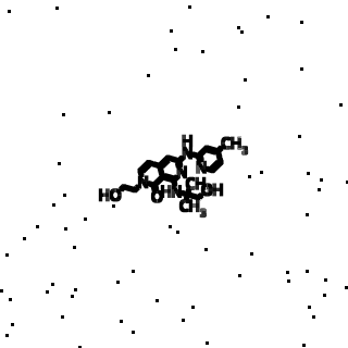 Cc1ccnc(Nc2cc3ccn(CCO)c(=O)c3c(NC(C)(C)CO)n2)c1